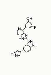 Oc1cc(F)cc(-c2nccc3[nH]c(-c4n[nH]c5ccc(-c6cn[nH]c6)cc45)nc23)c1